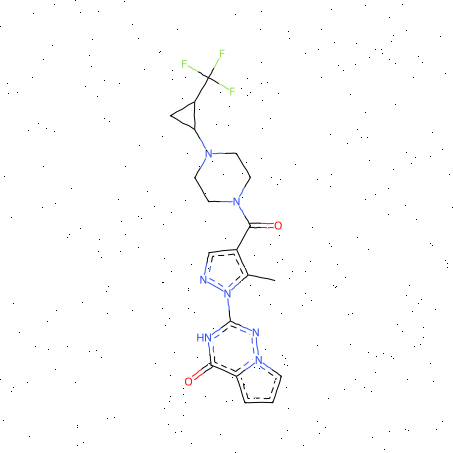 Cc1c(C(=O)N2CCN(C3CC3C(F)(F)F)CC2)cnn1-c1nn2cccc2c(=O)[nH]1